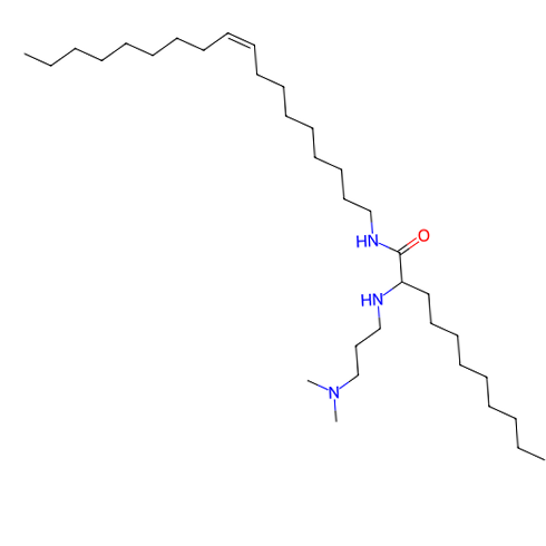 CCCCCCCC/C=C\CCCCCCCCNC(=O)C(CCCCCCCCC)NCCCN(C)C